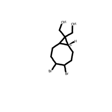 OCC1(CO)C2CCC(Br)C(Br)CC[C@H]21